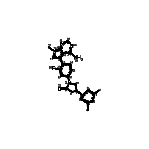 Cc1cc(C)cc(C2CC(=O)N(c3ccc(-c4cn(C)c5ncnc(N)c45)c(F)c3)C2)c1